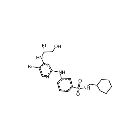 CC[C@H](CO)Nc1nc(Nc2cccc(S(=O)(=O)NCC3CCCCC3)c2)ncc1Br